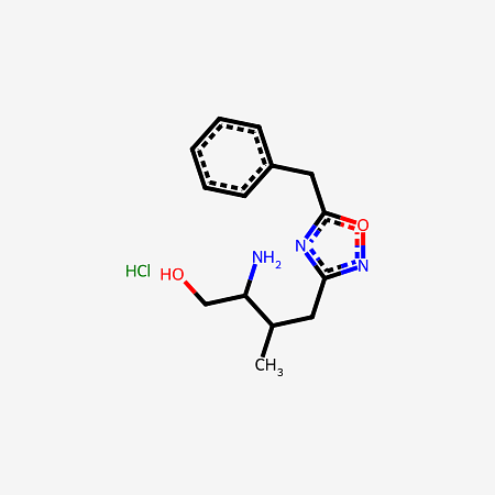 CC(Cc1noc(Cc2ccccc2)n1)C(N)CO.Cl